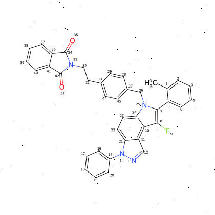 Cc1ccccc1-c1c(F)c2c3cnn(-c4ccccc4)c3ccc2n1Cc1ccc(CCN2C(=O)c3ccccc3C2=O)cc1